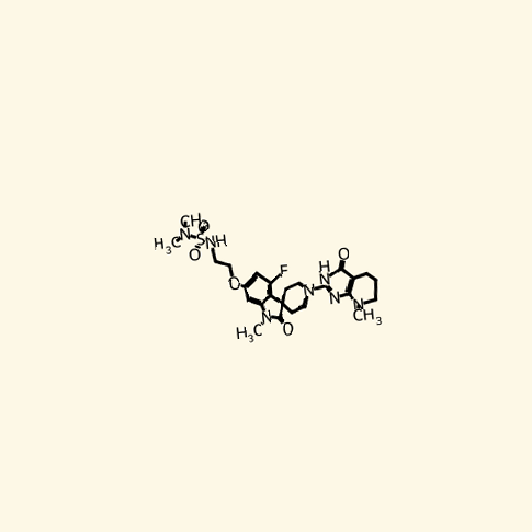 CN1CCCc2c1nc(N1CCC3(CC1)C(=O)N(C)c1cc(OCCNS(=O)(=O)N(C)C)cc(F)c13)[nH]c2=O